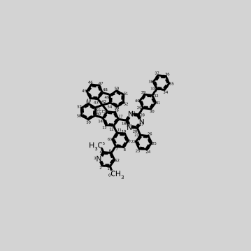 Cc1cnc(C)c(-c2cccc(-c3cc4c(cc3-c3nc(-c5ccccc5)nc(-c5ccc(-c6ccccc6)cc5)n3)C3(c5ccccc5-c5ccccc53)c3ccccc3-4)c2)c1